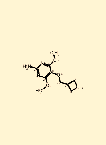 COc1nc(N)nc(OC)c1OCC1COC1